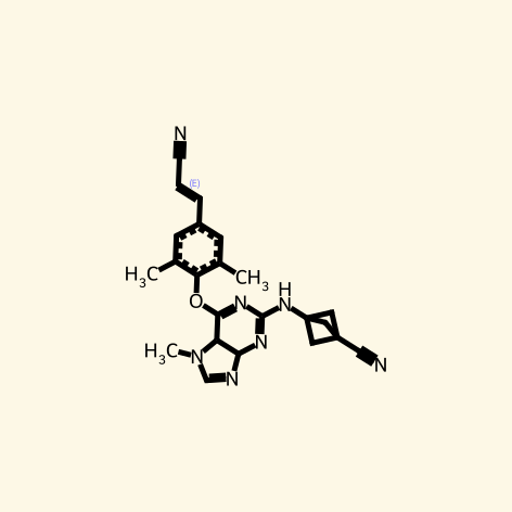 Cc1cc(/C=C/C#N)cc(C)c1OC1=NC(NC23CC(C#N)(C2)C3)=NC2N=CN(C)C12